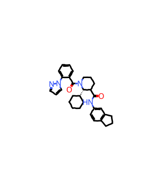 O=C(Nc1ccc2c(c1)CCC2)C1CCCN(C(=O)c2ccccc2-n2cccn2)[C@H]1C1CCCCC1